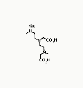 CN(CCN(CCN(C)C(C)(C)C)CC(=O)O)CC(=O)O